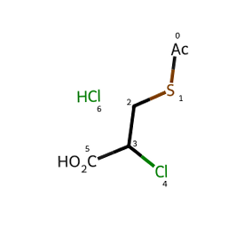 CC(=O)SCC(Cl)C(=O)O.Cl